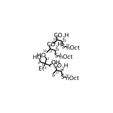 CCC(CO)(CO)CO.CCCCCCCCSCC(C)C(=O)O.CCCCCCCCSCC(C)C(=O)O.CCCCCCCCSCC(C)C(=O)O